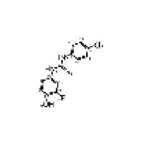 Oc1ccc(NC(=S)Nc2ccc(Cl)cc2)cc1F